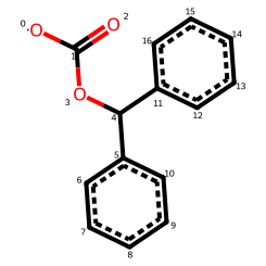 [O]C(=O)OC(c1ccccc1)c1ccccc1